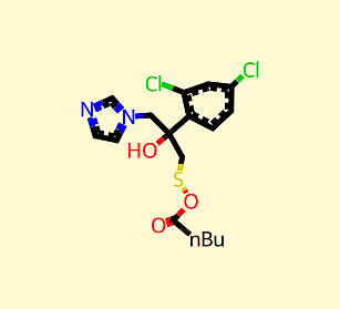 CCCCC(=O)OSCC(O)(Cn1ccnc1)c1ccc(Cl)cc1Cl